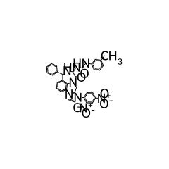 Cc1cccc(NC(=O)NC2N=C(c3ccccc3)c3ccccc3N(Cc3nccn3-c3ccc([N+](=O)[O-])cc3[N+](=O)[O-])C2=O)c1